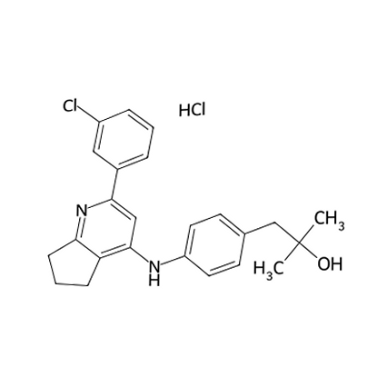 CC(C)(O)Cc1ccc(Nc2cc(-c3cccc(Cl)c3)nc3c2CCC3)cc1.Cl